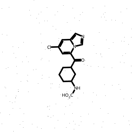 O=C(O)NC1CCCC(C(=O)c2cc(Cl)cc3cncn23)C1